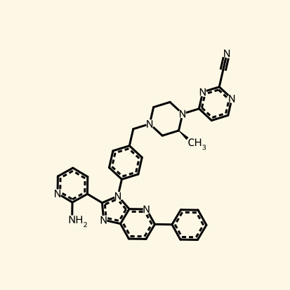 C[C@H]1CN(Cc2ccc(-n3c(-c4cccnc4N)nc4ccc(-c5ccccc5)nc43)cc2)CCN1c1ccnc(C#N)n1